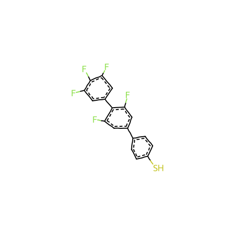 Fc1cc(-c2c(F)cc(-c3ccc(S)cc3)cc2F)cc(F)c1F